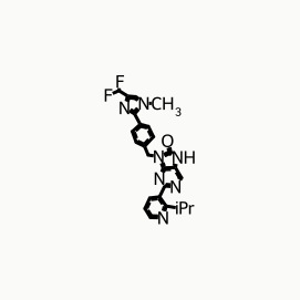 CC(C)c1ncccc1-c1ncc2[nH]c(=O)n(Cc3ccc(-c4nc(C(F)F)cn4C)cc3)c2n1